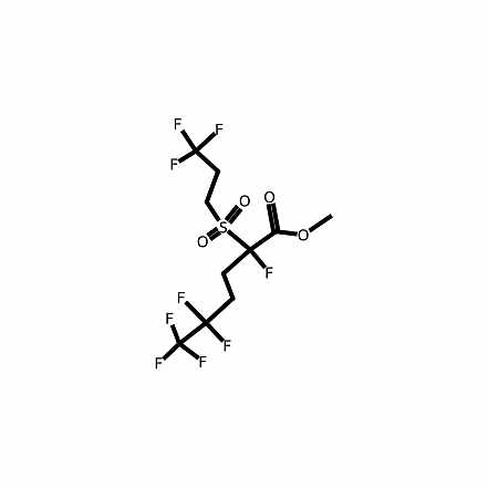 COC(=O)C(F)(CCC(F)(F)C(F)(F)F)S(=O)(=O)CCC(F)(F)F